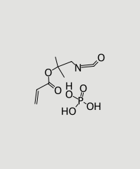 C=CC(=O)OC(C)(C)CN=C=O.O=P(O)(O)O